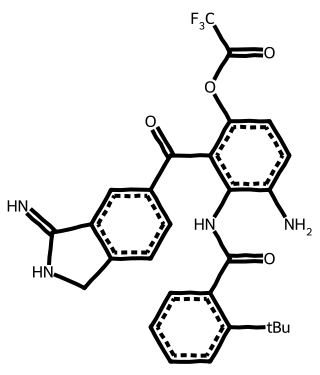 CC(C)(C)c1ccccc1C(=O)Nc1c(N)ccc(OC(=O)C(F)(F)F)c1C(=O)c1ccc2c(c1)C(=N)NC2